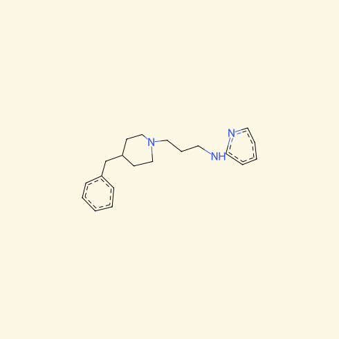 c1ccc(CC2CCN(CCCNc3ccccn3)CC2)cc1